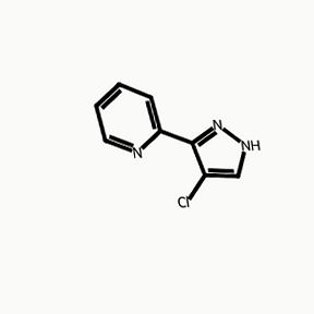 Clc1c[nH]nc1-c1ccccn1